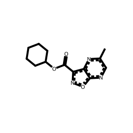 Cc1cnc2onc(C(=O)OC3CCCCC3)c2n1